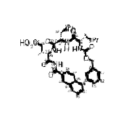 CC(C)C[C@H](NC(=O)OCc1ccccc1)C(=O)N[C@@H](CC(C)C)C(=O)N[C@@H](CCC(=O)O)C(=O)NC(=O)c1ccc2ccccc2c1